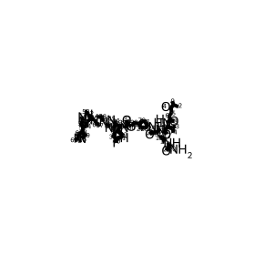 CC(C)C(=O)CCC(=O)N[C@H](C(=O)N[C@@H](CCCNC(N)=O)C(=O)Nc1ccc(COC(=O)N[C@@](C)(c2ccc(F)cc2)c2cnc(N3CCN(c4ncnn5cc(-c6cnn(C)c6)cc45)CC3)nc2)cc1)C(C)C